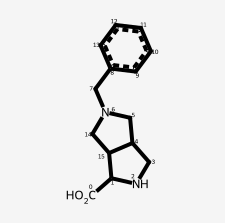 O=C(O)C1NCC2CN(Cc3ccccc3)CC21